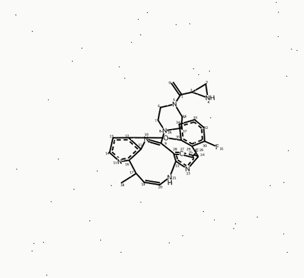 C=C(C1CN1)N1CCN(/C2=N/c3c4ccnc3C(C)/C=C\Nc3nc(c(F)cc32)-c2c(F)cccc2O4)CC1